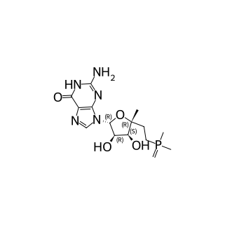 C=P(C)(C)CC[C@@]1(C)O[C@@H](n2cnc3c(=O)[nH]c(N)nc32)[C@H](O)[C@@H]1O